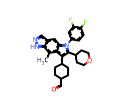 Cc1c2[nH]ncc2cc2c1c(C1CCC(C=O)CC1)c(C1CCOCC1)n2-c1ccc(F)c(F)c1